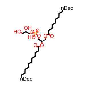 CCCCCCCCCCCCCCCCCCCCC(=O)O[C@H](COC(=O)CCCCCCCCCCCCCCCCCC)COP(=O)(O)OC[C@@H](O)CO